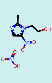 Cc1ncc([N+](=O)[O-])n1CCO.O=[N+]([O-])O